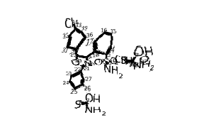 C.NC(O)=S.NC(O)=S.NS(=O)(=O)c1ccccc1-c1nc(-c2ccccc2)oc1-c1ccc(Cl)cc1.O